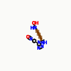 CC(Nc1nc(-c2ccc(N3CCOCC3)cc2)cc2nccnc12)SSSSSSSCNCCO